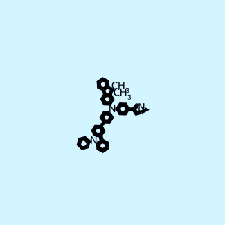 CC1(C)c2ccccc2-c2ccc(N(c3ccc(-c4ccc5c(c4)c4ccccc4n5C4=CC=CCC4)cc3)c3ccc(-c4cc5n(c4)C5)cc3)cc21